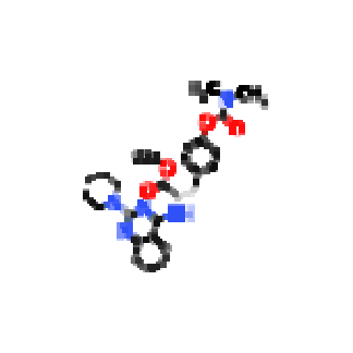 CN(C)C(=O)Oc1ccc(C[C@H](Nc2nc(N3CCCCC3)nc3ccccc23)C(=O)OC(C)(C)C)cc1